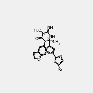 CN1C(=N)N[C@](C)(c2cc(-c3ncc(Br)s3)cs2)C(c2ccc3occc3c2)C1=O